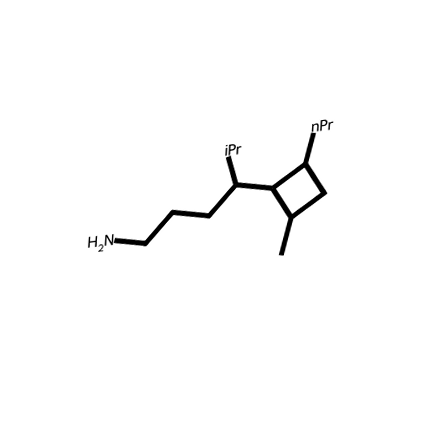 CCCC1CC(C)C1C(CCCN)C(C)C